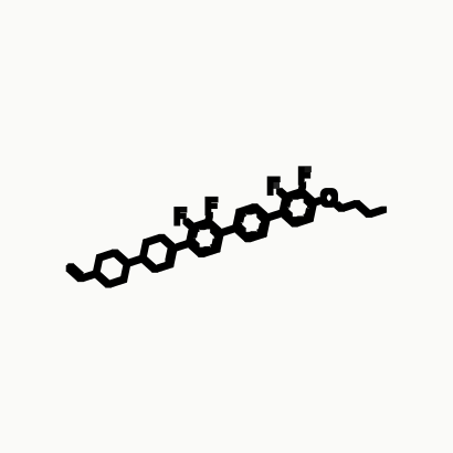 C=CC1CCC(C2CC=C(c3ccc(-c4ccc(-c5ccc(OCCCC)c(F)c5F)cc4)c(F)c3F)CC2)CC1